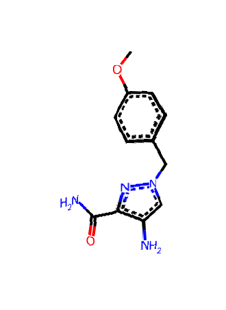 COc1ccc(Cn2cc(N)c(C(N)=O)n2)cc1